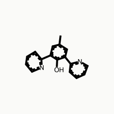 Cc1cc(-c2ccccn2)c(O)c(-c2ccccn2)c1